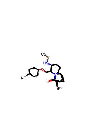 CCSNC1CCc2ccc(C(C)C)c(=O)n2C1COC1CCC(CC)CC1